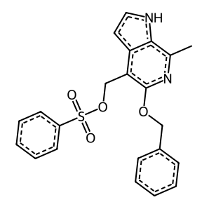 Cc1nc(OCc2ccccc2)c(COS(=O)(=O)c2ccccc2)c2cc[nH]c12